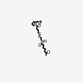 COCC1CCCN1C(=O)CCCSSCCNC(=O)CCCCC(C)=O